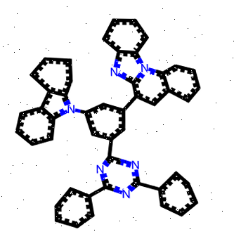 c1ccc(-c2nc(-c3ccccc3)nc(-c3cc(-c4cc5ccccc5n5c4nc4ccccc45)cc(-n4c5ccccc5c5ccccc54)c3)n2)cc1